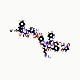 CN[C@H](C(=O)N[C@H](C(=O)N(C)[C@H](/C=C(\C)C(=O)NS(=O)(=O)c1ccc(NC(=O)[C@H](CCCCN)NC(=O)[C@H](Cc2ccccc2)NC(=O)[C@@H](Cc2ccccc2)NC(=O)CCOCCN2C(=O)C=CC2=O)cc1)C(C)C)C(C)(C)C)C(C)(C)c1ccccc1